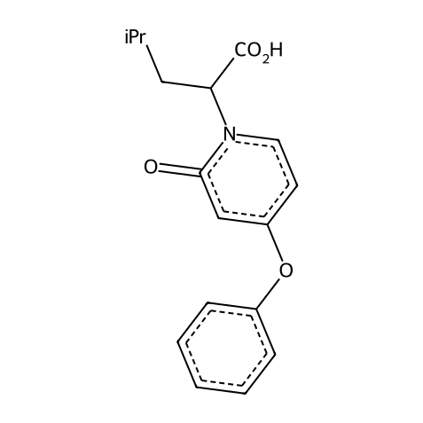 CC(C)CC(C(=O)O)n1ccc(Oc2ccccc2)cc1=O